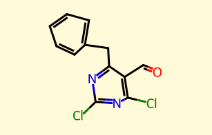 O=Cc1c(Cl)nc(Cl)nc1Cc1ccccc1